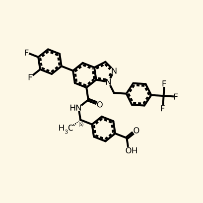 C[C@H](NC(=O)c1cc(-c2ccc(F)c(F)c2)cc2cnn(Cc3ccc(C(F)(F)F)cc3)c12)c1ccc(C(=O)O)cc1